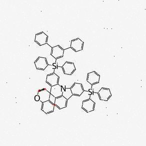 c1ccc(-c2cc(-c3ccccc3)cc([Si](c3ccccc3)(c3ccccc3)c3ccc4c(c3)-n3c5ccc([Si](c6ccccc6)(c6ccccc6)c6ccccc6)cc5c5cccc(c53)C43c4ccccc4Oc4ccccc43)c2)cc1